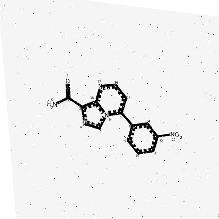 NC(=O)c1ncn2c(-c3cccc([N+](=O)[O-])c3)ccnc12